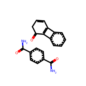 NC(=O)c1ccc(C(N)=O)cc1.O=C1CC=CC2=C1c1ccccc12